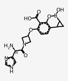 N[C@@H](C(=O)N1CC(Oc2ccc3c(c2C(=O)O)OB(O)C2CC32)C1)c1c[nH]cn1